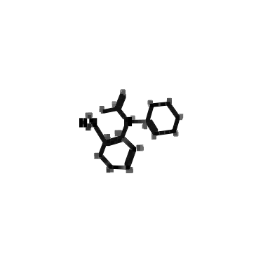 C=C(C)N(C1=CCCCC1)C1=C(N)CCC=C1